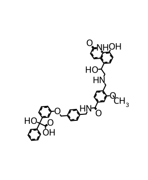 COc1cc(C(=O)NCc2ccc(COc3cccc(C(O)(C(=O)O)c4ccccc4)c3)cc2)ccc1CNCC(O)c1ccc(O)c2[nH]c(=O)ccc12